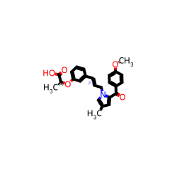 COc1ccc(C(=O)c2cc(C)cn2C/C=C/c2cccc(O[C@@H](C)C(=O)O)c2)cc1